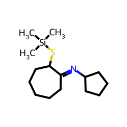 C[Si](C)(C)SC1CCCCC/C1=N\C1CCCC1